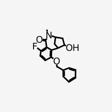 CN1C(=O)c2c(F)ccc(OCc3ccccc3)c2C2CC1CC2O